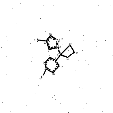 Fc1ccc(C2(n3cc(I)cn3)CCC2)cc1